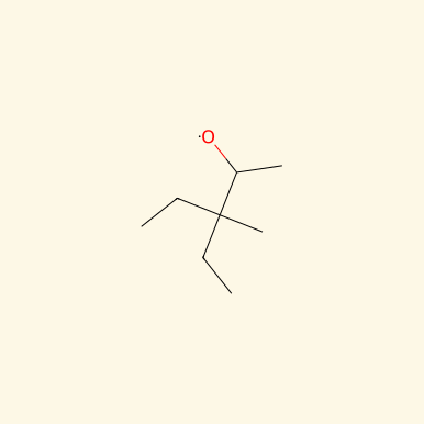 CCC(C)(CC)C(C)[O]